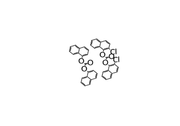 O=C(Oc1c(Cl)ccc2ccccc12)Oc1c(Cl)ccc2ccccc12.O=C(Oc1cccc2ccccc12)Oc1cccc2ccccc12